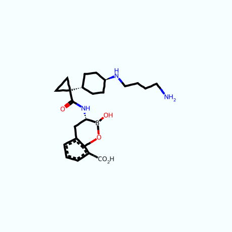 NCCCCN[C@H]1CC[C@H](C2(C(=O)N[C@H]3Cc4cccc(C(=O)O)c4OB3O)CC2)CC1